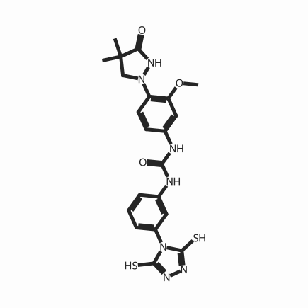 COc1cc(NC(=O)Nc2cccc(-n3c(S)nnc3S)c2)ccc1N1CC(C)(C)C(=O)N1